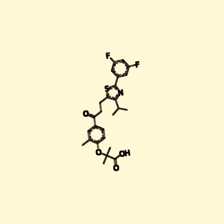 Cc1cc(C(=O)CCc2sc(-c3cc(F)cc(F)c3)nc2C(C)C)ccc1OC(C)(C)C(=O)O